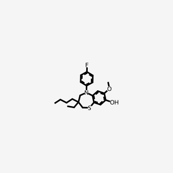 CCCCC1(CC)CSc2cc(O)c(OC)cc2N(c2ccc(F)cc2)C1